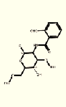 CCCCOCC1O[C@@H](F)C(NC(=O)c2ccccc2C=O)C(OCCCC)[C@@H]1O